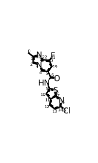 Cc1cn2cc(C(=O)Nc3cc4ccc(Cl)nc4s3)cc(F)c2n1